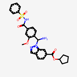 COc1cc(C(=O)NS(=O)(=O)c2ccccc2)ccc1C(N)n1ncc2ccc(C(=O)OC3CCCC3)cc21